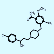 COc1cc(N)c(CC2CCN(CCC(O)c3ccc(Cl)cc3)CC2)cc1C(N)=O